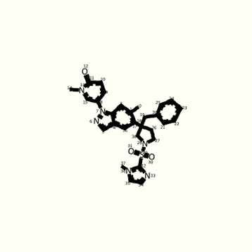 Cc1cc2c(cnn2-c2ccc(=O)n(C)c2)cc1C1(Cc2ccccc2)CCN(S(=O)(=O)c2nccn2C)C1